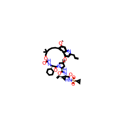 C=CCc1cc2c3cc(c(OC)cc3n1)CCCC(C)(C)COC(=O)N[C@@H](C1CCCCC1)C(=O)N1C[C@@H](C[C@H]1C(=O)N[C@]1(C(=O)NS(=O)(=O)C3CC3)C[C@H]1C=C)O2